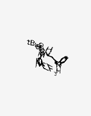 CC(C)(C)OC(=O)N1CCc2c(nc(-c3cncc(C(F)(F)F)c3)nc2NCCc2c[nH]c3ccccc23)C1